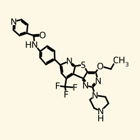 CCOc1nc(N2CCNCC2)nc2c1sc1nc(-c3ccc(NC(=O)c4ccncc4)cc3)cc(C(F)(F)F)c12